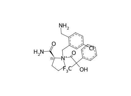 NCc1ccc(Cl)cc1C[N+]1(C(=O)C(O)(c2ccccc2)C(F)(F)F)CCC[C@H]1C(N)=O